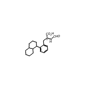 O=CN[C@@H](Cc1ccccc1C1CCCC2CCCCC21)C(=O)O